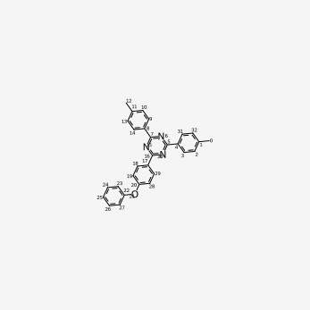 Cc1ccc(-c2nc(-c3ccc(C)cc3)nc(-c3ccc(Oc4ccccc4)cc3)n2)cc1